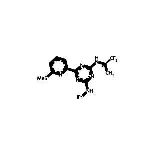 CSc1cccc(-c2nc(NC(C)C)nc(N[C@H](C)C(F)(F)F)n2)n1